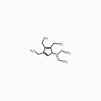 CCC1=CC([SiH](OC)OC)C(CC)=C1CC